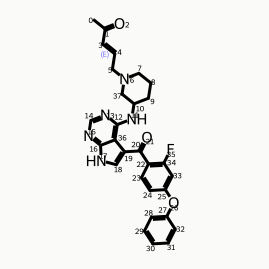 CC(=O)/C=C/CN1CCCC(Nc2ncnc3[nH]cc(C(=O)c4ccc(Oc5ccccc5)cc4F)c23)C1